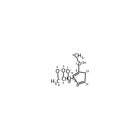 C[O-].C[O-].C[O-].[CH3][Zr+3][C]1=CC=CC1